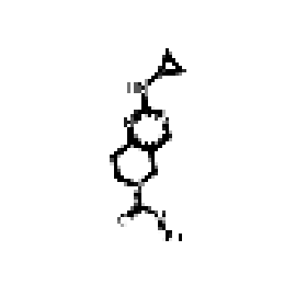 CC(C)(C)OC(=O)N1CCc2nc(NC3CC3)ncc2C1